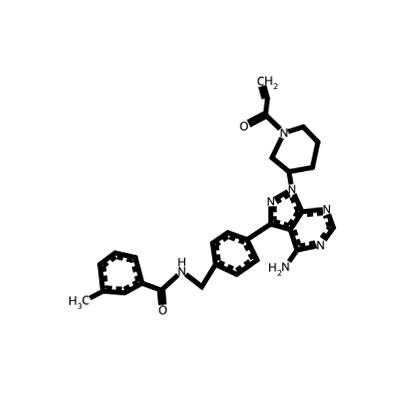 C=CC(=O)N1CCCC(n2nc(-c3ccc(CNC(=O)c4cccc(C)c4)cc3)c3c(N)ncnc32)C1